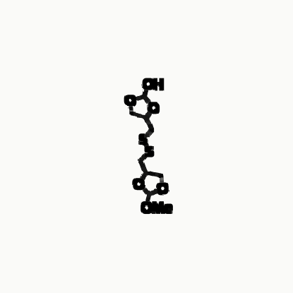 COC1OCC(CSSCC2COC(O)O2)O1